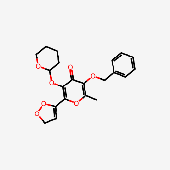 Cc1oc(C2=CCOO2)c(OC2CCCCO2)c(=O)c1OCc1ccccc1